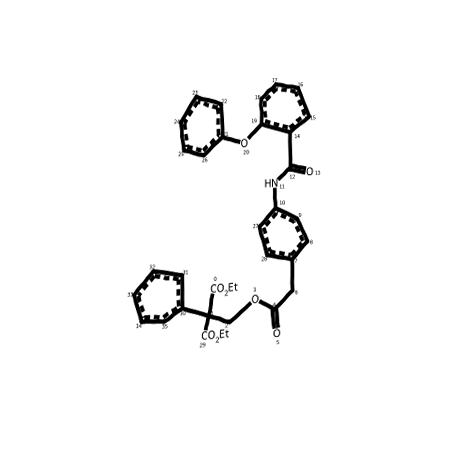 CCOC(=O)C(COC(=O)Cc1ccc(NC(=O)c2ccccc2Oc2ccccc2)cc1)(C(=O)OCC)c1ccccc1